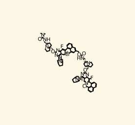 CN(C)C(=O)NC[C@H]1CC[C@@]2(COc3nc(N4CC5CCC(C4)N5)c4cnc(-c5cccc6cc(COC(=O)NC[C@H]7CC[C@@]8(COc9nc(N%10CC%11CCC(C%10)N%11)c%10cnc(-c%11cccc%12cccc(Cl)c%11%12)c(F)c%10n9)CCCN78)cc(Cl)c56)c(F)c4n3)CCCN12